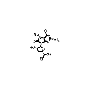 CCCCn1c(=O)n([C@@H]2O[C@H](C(O)CC)C[C@H]2O)c2nc(N)nc(Cl)c21